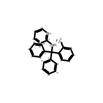 FC(F)(F)c1ccccc1C(Nc1ncccn1)(c1ccccc1)c1ccccc1